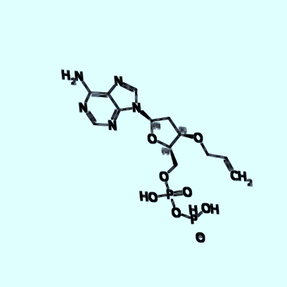 C=CCO[C@@H]1C[C@H](n2cnc3c(N)ncnc32)O[C@@H]1COP(=O)(O)O[PH](=O)O